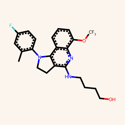 Cc1cc(F)ccc1N1CCc2c(NCCCCO)nc3c(OC(F)(F)F)cccc3c21